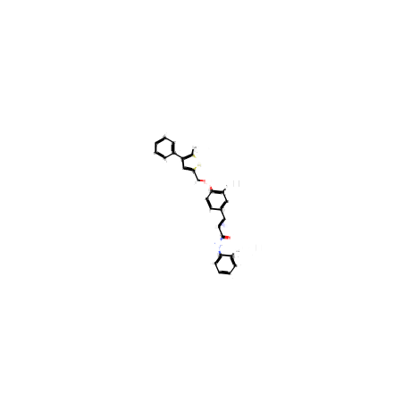 Cc1cc(/C=C/C(=O)Nc2ccccc2C(=O)O)ccc1OCc1cc(-c2ccccc2)c(C)s1